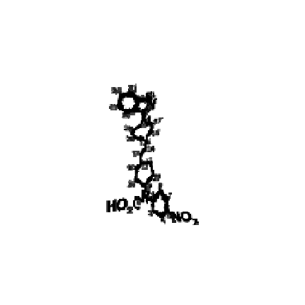 O=C(O)N(c1ccc([N+](=O)[O-])cc1)C1CCC(CCN2CCN(c3nsc4ccccc34)CC2)CC1